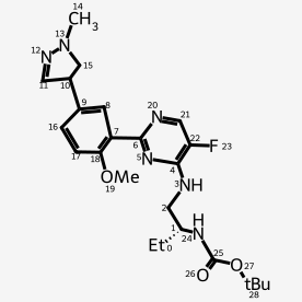 CC[C@H](CNc1nc(-c2cc(C3C=NN(C)C3)ccc2OC)ncc1F)NC(=O)OC(C)(C)C